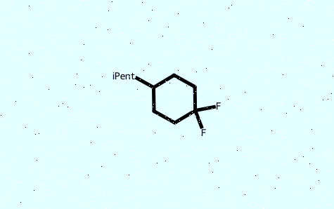 CCCC(C)C1CCC(F)(F)CC1